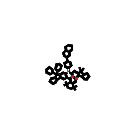 CC1(C)CCC(C)(C)c2c(-c3cc4c(cc3N(c3ccc(-c5ccc6ccccc6c5)cc3)c3ccc5c(c3)C(C)(C)c3ccccc3-5)C(c3ccccc3)(c3ccccc3)c3ccccc3-4)cccc21